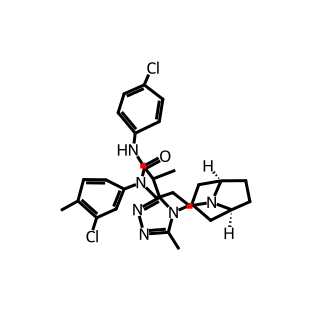 Cc1ccc(N(CCCN2[C@@H]3CC[C@H]2CC(n2c(C)nnc2C(C)C)C3)C(=O)Nc2ccc(Cl)cc2)cc1Cl